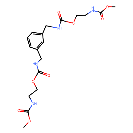 COC(=O)NCCOC(=O)NCc1cccc(CNC(=O)OCCNC(=O)OC)c1